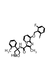 Cc1ccccc1C(CO)(CO)NC(=O)c1c(C)nc2c(OCc3c(F)cccc3F)cccn12